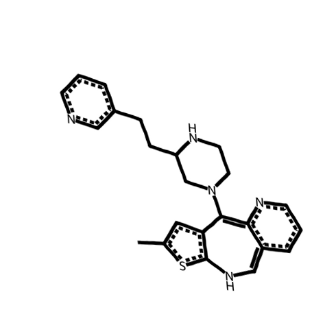 Cc1cc2c(s1)NC=c1cccnc1=C2N1CCNC(CCc2cccnc2)C1